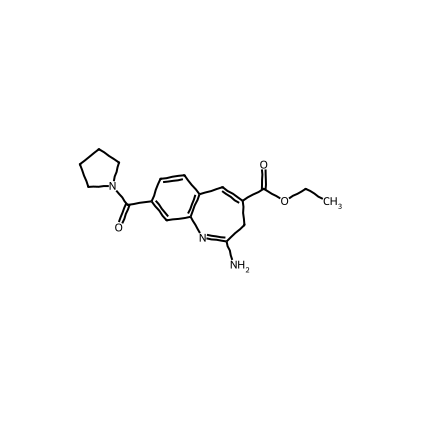 CCOC(=O)C1=Cc2ccc(C(=O)N3CCCC3)cc2N=C(N)C1